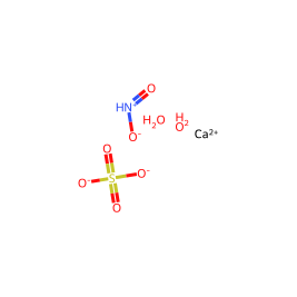 O.O.O=S(=O)([O-])[O-].O=[NH+][O-].[Ca+2]